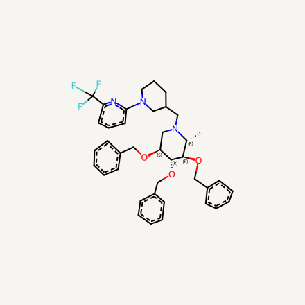 C[C@@H]1[C@@H](OCc2ccccc2)[C@H](OCc2ccccc2)[C@@H](OCc2ccccc2)CN1CC1CCCN(c2cccc(C(F)(F)F)n2)C1